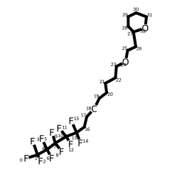 FC(F)(F)C(F)(F)C(F)(F)C(F)(F)C(F)(F)CCCCCCCCOCCC1CCCCO1